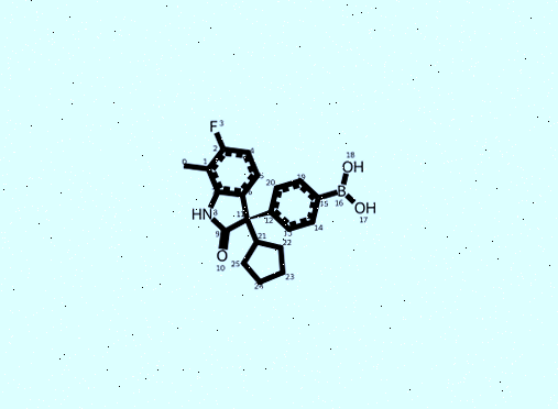 Cc1c(F)ccc2c1NC(=O)[C@@]2(c1ccc(B(O)O)cc1)C1CCCC1